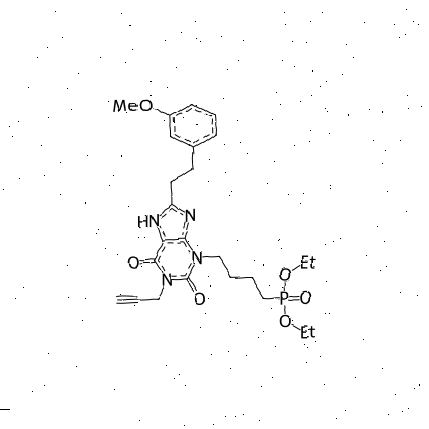 C#CCn1c(=O)c2[nH]c(CCc3cccc(OC)c3)nc2n(CCCCP(=O)(OCC)OCC)c1=O